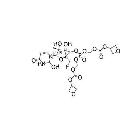 C[C@]1(O)[C@H](N2C=CC(=O)NC2O)O[C@]2(CF)C(OP(=O)(OCOC(=O)OC3COC3)OCOC(=O)OC3COC3)[C@]12O